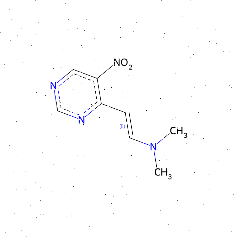 CN(C)/C=C/c1ncncc1[N+](=O)[O-]